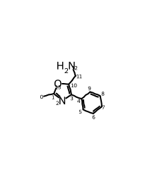 Cc1nc(-c2ccccc2)c(CN)o1